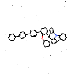 c1ccc(-c2ccc(-c3ccc(-c4cccc5c4Oc4ccccc4C54c5ccccc5-n5c6ccccc6c6cccc4c65)cc3)cc2)cc1